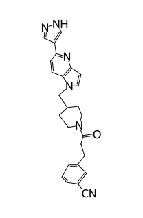 N#Cc1cccc(CCC(=O)N2CCC(Cn3ccc4nc(-c5cn[nH]c5)ccc43)CC2)c1